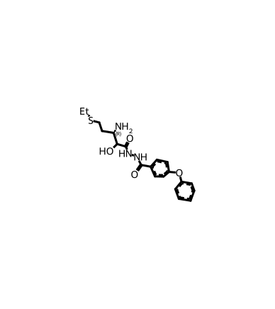 CCSCC[C@@H](N)C(O)C(=O)NNC(=O)c1ccc(Oc2ccccc2)cc1